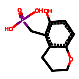 O=P(O)(O)Cc1c(O)ccc2c1CCCO2